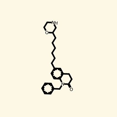 O=C1CCc2cc(CCCCCCC3CNCCO3)ccc2N1Cc1ccccc1